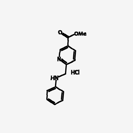 COC(=O)c1ccc(CNc2ccccc2)nc1.Cl